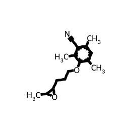 Cc1cc(C)c(OCCCC2OC2C)c(C)c1C#N